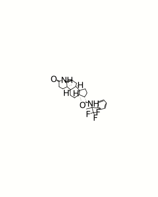 CC(NC(=O)[C@H]1CC[C@H]2[C@@H]3CC=C4NC(=O)CC[C@]4(C)[C@H]3CC[C@]12C)(c1ccccc1)C(F)(F)F